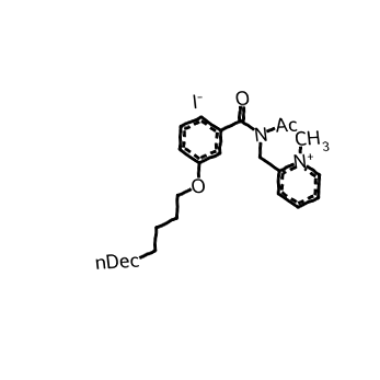 CCCCCCCCCCCCCCOc1cccc(C(=O)N(Cc2cccc[n+]2C)C(C)=O)c1.[I-]